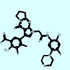 NC(=O)c1cc(-c2cn(CC(=O)Nc3cc(N4CCOCC4)c(F)cc3Cl)c3nc4n(c(=O)c23)CCC4)c(F)c(F)c1O